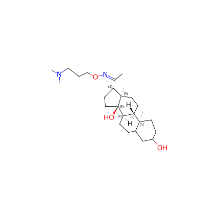 C/C(=N/OCCCN(C)C)[C@H]1CC[C@@]2(O)[C@@H]3CCC4CC(O)CC[C@]4(C)[C@H]3CC[C@]12C